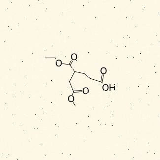 CCOC(=O)C(CCC(=O)O)CC(=O)OC